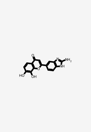 Nc1nc2cc(-c3cc(=O)c4ccc(O)c(O)c4o3)ccc2[nH]1